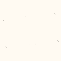 N#CC(C#N)=C(C#N)C#N.N#CC(C#N)=C(C#N)C#N